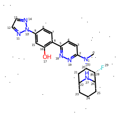 CN(c1ccc(-c2ccc(-n3nccn3)cc2O)nn1)[C@H]1CC2CCCC(N2)[C@H]1F